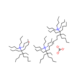 CCCCC(CC)(CCCC)C(CCCC)(CCCC)[N+](CCCC)(CCCC)CCCC.CCCCC(CC)(CCCC)C(CCCC)(CCCC)[N+](CCCC)(CCCC)CCCC.CCCCC(CC)(CCCC)C(CCCC)(CCCC)[N+](CCCC)(CCCC)CCCC.[O-]B([O-])[O-]